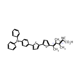 [C-]#[N+]/C(C(=O)O)=C(C)\C(C)=C(/C)c1ccc(-c2ccc(-c3ccc(N(c4ccccc4)c4ccccc4)cc3)s2)s1